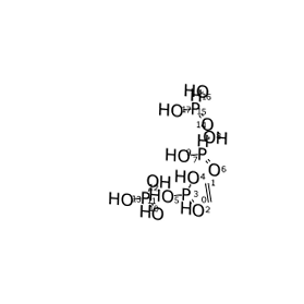 C=C.O=[PH](O)O.O=[PH](O)O.O=[PH](O)O.O=[PH](O)O